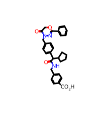 O=C(O)c1ccc(CNC(=O)C(c2ccc(CN3N=C(c4ccccc4)OCC3=O)cc2)C2CCCC2)cc1